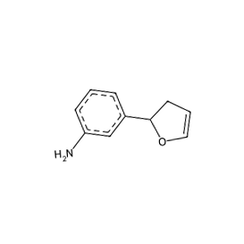 Nc1cccc(C2CC=CO2)c1